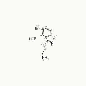 Cl.NCCOc1noc2ccc(Br)cc12